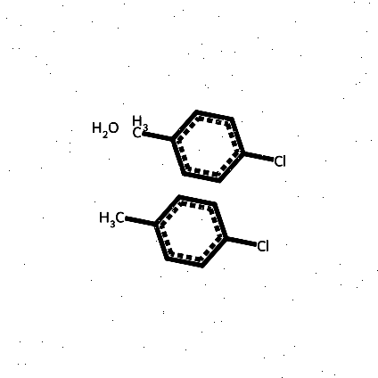 Cc1ccc(Cl)cc1.Cc1ccc(Cl)cc1.O